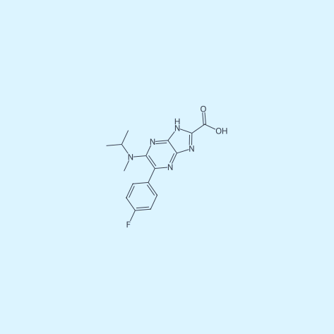 CC(C)N(C)c1nc2[nH]c(C(=O)O)nc2nc1-c1ccc(F)cc1